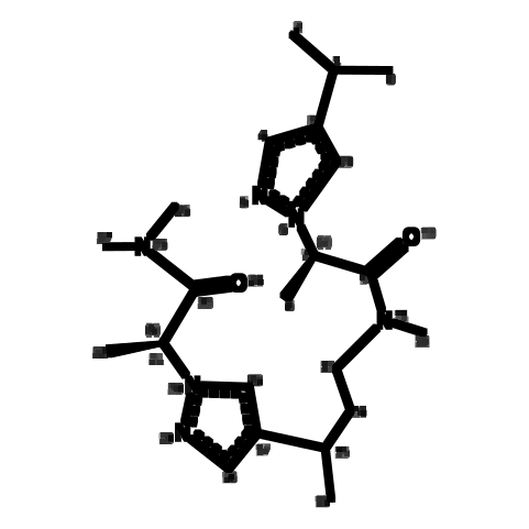 CC(C)c1cnn([C@H](C)C(=O)N(C)CCC(C)c2cnn([C@@H](C)C(=O)N(C)C)c2)c1